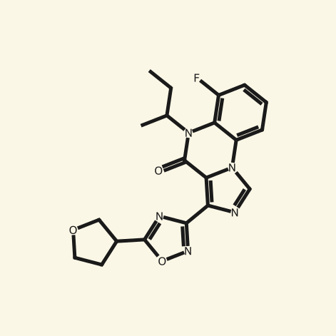 CCC(C)n1c(=O)c2c(-c3noc(C4CCOC4)n3)ncn2c2cccc(F)c21